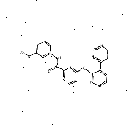 CCOc1cccc(NC(=O)c2cccc(Oc3ncccc3-c3ccncn3)c2)c1